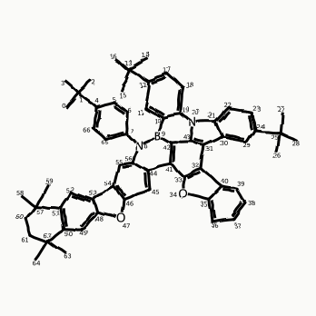 CC(C)(C)c1ccc(N2B3c4cc(C(C)(C)C)ccc4-n4c5ccc(C(C)(C)C)cc5c5c6c(oc7ccccc76)c(c3c54)-c3cc4oc5cc6c(cc5c4cc32)C(C)(C)CCC6(C)C)cc1